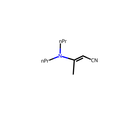 CCCN(CCC)C(C)=CC#N